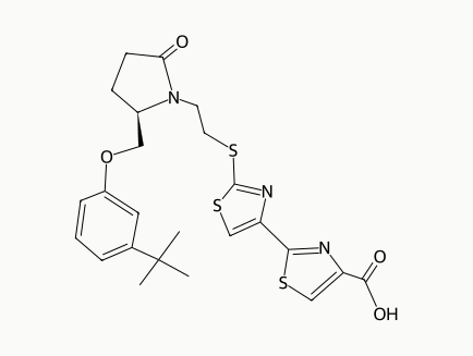 CC(C)(C)c1cccc(OC[C@H]2CCC(=O)N2CCSc2nc(-c3nc(C(=O)O)cs3)cs2)c1